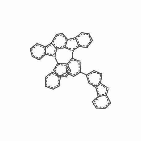 c1ccc(-c2cc(-c3ccc4sc5ccccc5c4c3)nc(-n3c4ccccc4c4ccc5c6ccccc6n(-c6ccccn6)c5c43)n2)cc1